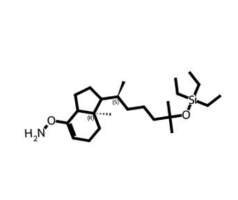 CC[Si](CC)(CC)OC(C)(C)CCC[C@H](C)C1CCC2C(ON)=CCC[C@@]21C